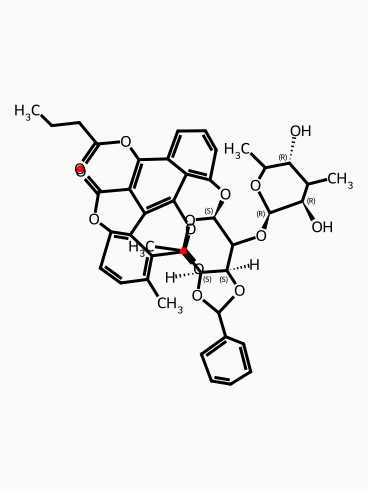 CCCC(=O)Oc1c2cccc(O[C@@H]3OC(C)[C@@H]4OC(c5ccccc5)O[C@@H]4C3O[C@H]3OC(C)[C@H](O)C(C)[C@H]3O)c2c2oc(=O)c3c(C)ccc4oc(=O)c1c2c43